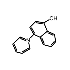 Oc1ccc(-[n+]2ccccc2)c2ccccc12